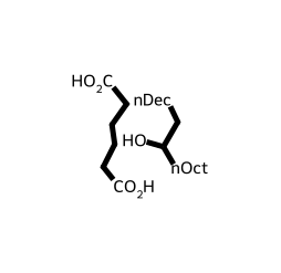 CCCCCCCCCCCC(O)CCCCCCCC.O=C(O)CCCCC(=O)O